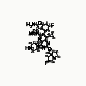 CCc1c(N)oc2cc(F)cc(-c3c(NC)nc4c(N5C6CCC5CNC6)nc(OC[C@@]56CCCN5C[C@H](F)C6)nc4c3C3CC3)c12